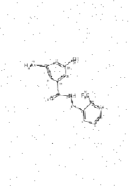 O=C(NCc1ccccc1C(F)(F)F)c1cc(S)cc([AsH2])c1